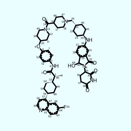 C[C@@H](C(=O)Nc1ccc(OC2CCN(C(=O)C3CCN(C[C@H]4CC[C@H](Nc5ccc6c(c5)C(=O)N(C5CCC(=O)NC5=O)C6O)CC4)CC3)CC2)cc1)[C@H]1CC[C@@H](c2ccnc3ccc(F)cc32)CC1